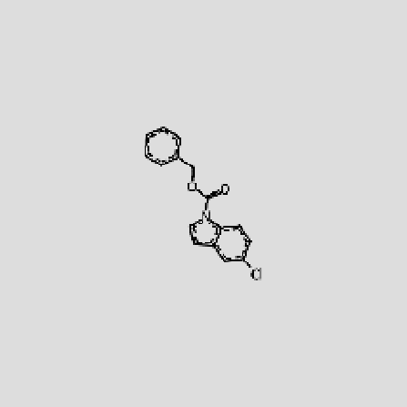 O=C(OCc1ccccc1)n1ccc2cc(Cl)ccc21